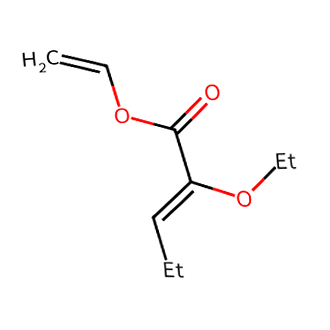 C=COC(=O)C(=CCC)OCC